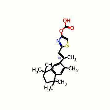 C/C(=C\c1nc(OC(=O)O)cs1)c1cc2c(cc1C)C(C)(C)CCC2(C)C